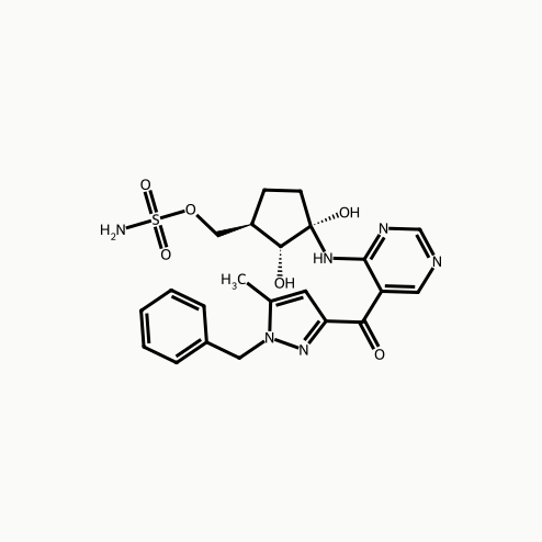 Cc1cc(C(=O)c2cncnc2N[C@]2(O)CC[C@H](COS(N)(=O)=O)[C@H]2O)nn1Cc1ccccc1